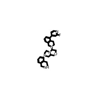 Fc1cc(-c2cccc3c2CCN(C2COCC4CN(c5cccc6c5CCNC6)CCN42)C3)ccn1